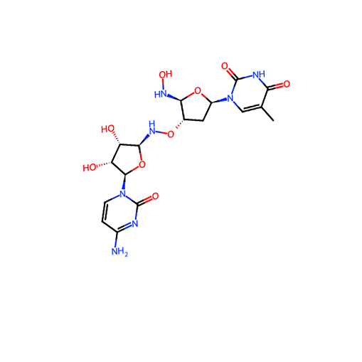 Cc1cn([C@H]2C[C@H](ON[C@H]3O[C@@H](n4ccc(N)nc4=O)[C@H](O)[C@@H]3O)[C@@H](NO)O2)c(=O)[nH]c1=O